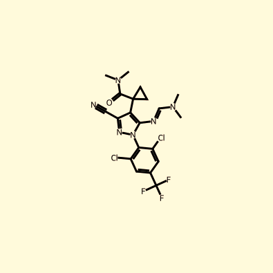 CN(C)C=Nc1c(C2(C(=O)N(C)C)CC2)c(C#N)nn1-c1c(Cl)cc(C(F)(F)F)cc1Cl